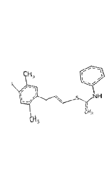 C=C(Nc1ccccc1)S/C=C/Cc1cc(C)c(I)cc1C